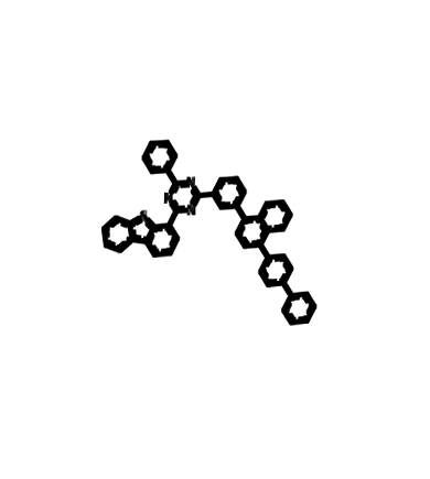 c1ccc(-c2ccc(-c3ccc(-c4cccc(-c5nc(-c6ccccc6)nc(-c6cccc7c6sc6ccccc67)n5)c4)c4ccccc34)cc2)cc1